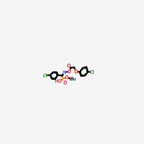 CCC(C)OP(=O)(O)C(=NOC(=O)COc1ccc(Cl)cc1)c1ccc(Cl)cc1